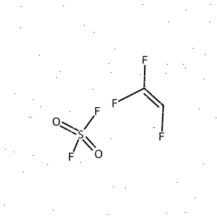 FC=C(F)F.O=S(=O)(F)F